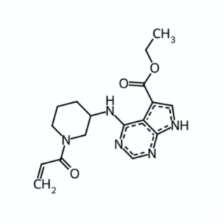 C=CC(=O)N1CCCC(Nc2ncnc3[nH]cc(C(=O)OCC)c23)C1